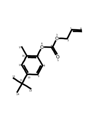 C=CCOC(=O)Oc1ccc(C(C)(C)C)cc1C